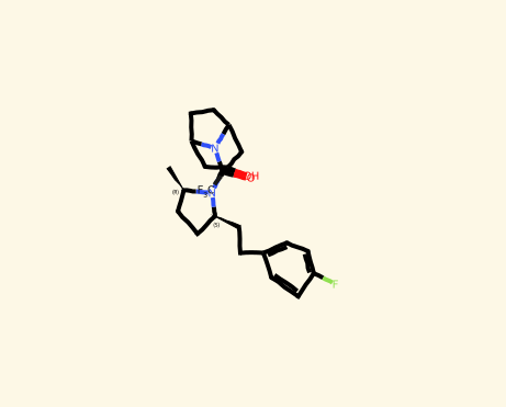 C[C@@H]1CC[C@H](CCc2ccc(F)cc2)N1C(=O)N1C2CCC1CC(O)(C(F)(F)F)C2